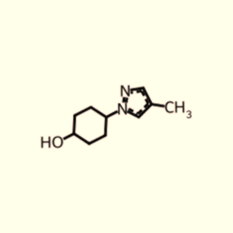 Cc1cnn(C2CCC(O)CC2)c1